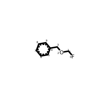 F[CH]OCc1ccccc1